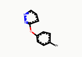 CC(C)c1ccc(Oc2cccnn2)cc1